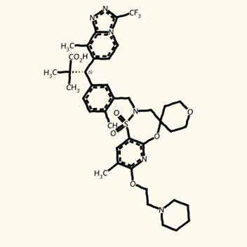 Cc1ccc([C@@H](c2ccn3c(C(F)(F)F)nnc3c2C)C(C)(C)C(=O)O)cc1CN1CC2(CCOCC2)Oc2nc(OCCN3CCCCC3)c(C)cc2S1(=O)=O